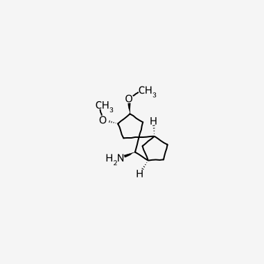 CO[C@H]1CC2(C[C@@H]1OC)[C@H]1CC[C@H](C1)[C@H]2N